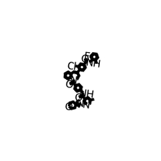 Cc1cnc(N2CC3(CCOCC3)C2)c(C(=O)Nc2ccc(C(=O)N3CCC(c4ccc(C(=O)Nc5c(C)cccc5F)cc4Cl)=Cc4ccccc43)cc2)c1